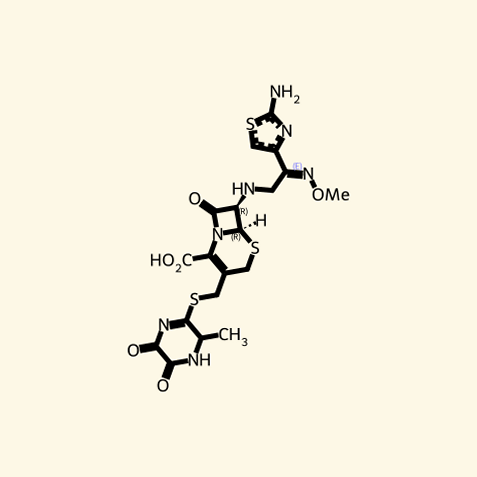 CO/N=C(\CN[C@@H]1C(=O)N2C(C(=O)O)=C(CSC3=NC(=O)C(=O)NC3C)CS[C@H]12)c1csc(N)n1